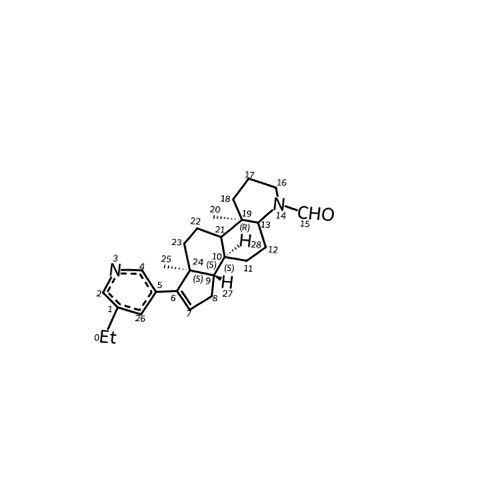 CCc1cncc(C2=CC[C@H]3[C@@H]4CCC5N(C=O)CCC[C@]5(C)C4CC[C@]23C)c1